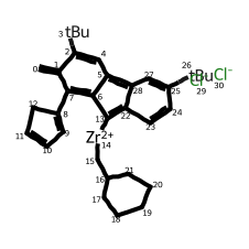 C=c1c(C(C)(C)C)cc2c(c1C1=CC=CC1)[C]([Zr+2][CH2]C1CCCCC1)=c1ccc(C(C)(C)C)cc1=2.[Cl-].[Cl-]